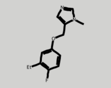 CCc1cc(OCc2cncn2C)ccc1F